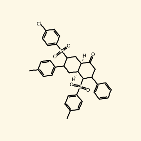 Cc1ccc(C2C[C@@H]3C(S(=O)(=O)c4ccc(C)cc4)C(c4ccccc4)CC(=O)[C@@H]3CC2S(=O)(=O)c2ccc(Cl)cc2)cc1